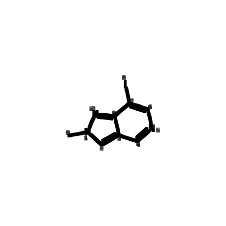 Cn1cc2cncc(I)c2n1